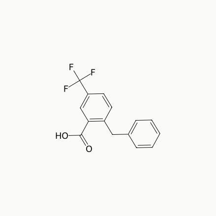 O=C(O)c1cc(C(F)(F)F)ccc1Cc1ccccc1